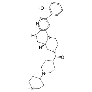 O=C(C1CCN(C2CCNCC2)CC1)N1CCN2c3cc(-c4ccccc4O)nnc3NC[C@H]2C1